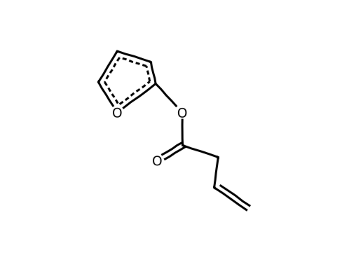 C=CCC(=O)Oc1ccco1